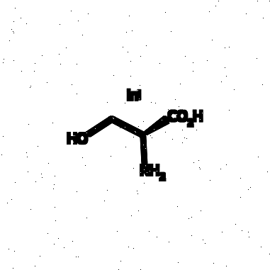 N[C@@H](CO)C(=O)O.[In]